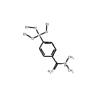 C=C(c1ccc([Si](OCC)(OCC)OCC)cc1)[SiH](C)C